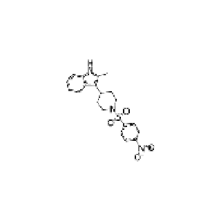 Cc1[nH]c2ccccc2c1C1CCN(S(=O)(=O)c2ccc([N+](=O)[O-])cc2)CC1